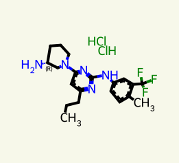 CCCc1cc(N2CCC[C@@H](N)C2)nc(Nc2ccc(C)c(C(F)(F)F)c2)n1.Cl.Cl